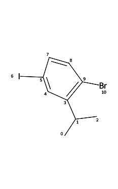 CC(C)c1cc(I)ccc1Br